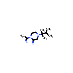 CC(=N)N1CCN(C(C)(C)C(C)C)CC1=N